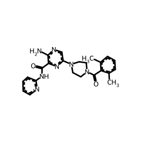 Cc1cccc(C)c1C(=O)N1CCN(c2cnc(N)c(C(=O)Nc3ccccn3)n2)CC1